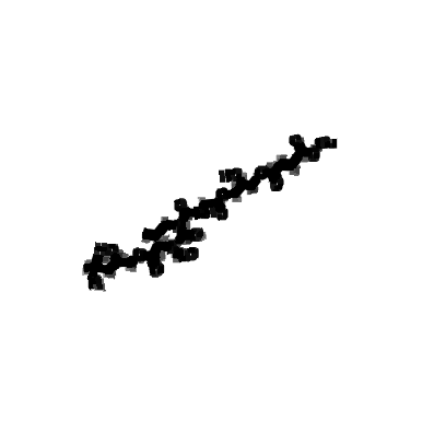 C=CCN(C(=O)NCC(=O)OCC(O)COC(=O)/C=C/C(=O)OC(C)(C)C)C(=O)N(CC(=O)OCC(O)CC(C)(C)CC)N=O